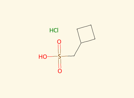 Cl.O=S(=O)(O)CC1CCC1